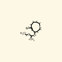 CCOC(C)OC1C=C(Br)CCCCCCC1